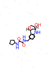 O=C(NCc1ccc2c(c1)[C@@H]1C[C@H](N2)[C@H](O)CO1)C(=O)NC1CCCC1